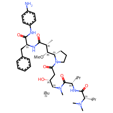 CC[C@H](C)[C@@H]([C@H](O)CC(=O)N1CCC[C@H]1[C@H](OC)[C@@H](C)C(=O)N[C@@H](Cc1ccccc1)C(=O)Nc1ccc(N)cc1)N(C)C(=O)[C@@H](NC(=O)[C@H](C(C)C)N(C)C)C(C)C